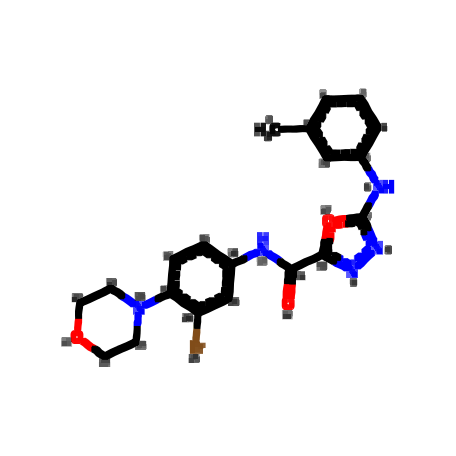 Cc1cccc(Nc2nnc(C(=O)Nc3ccc(N4CCOCC4)c(Br)c3)o2)c1